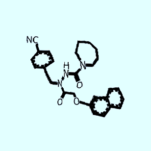 N#Cc1ccc(CN(NC(=O)N2CCCCCC2)C(=O)COc2ccc3ccccc3c2)cc1